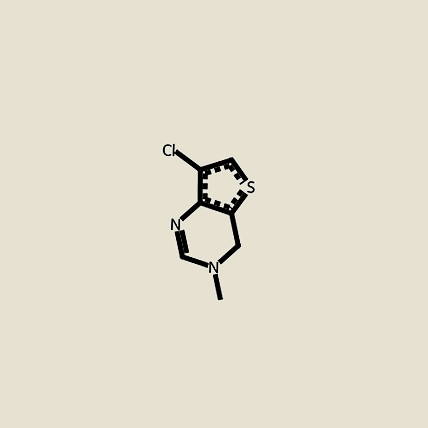 CN1C=Nc2c(Cl)csc2C1